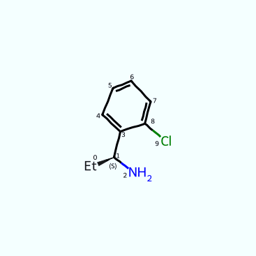 CC[C@H](N)c1ccccc1Cl